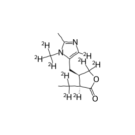 [2H]c1nc(C)n(C([2H])([2H])[2H])c1C[C@H]1C([2H])([2H])OC(=O)[C@@]1([2H])C([2H])([2H])C